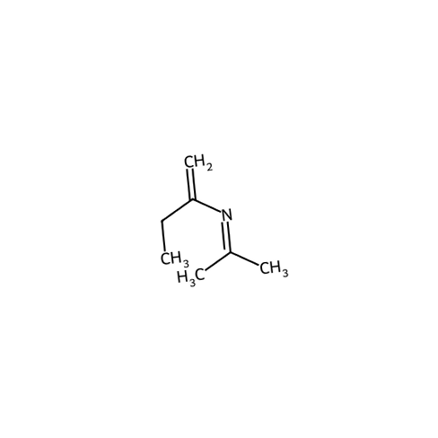 C=C(CC)N=C(C)C